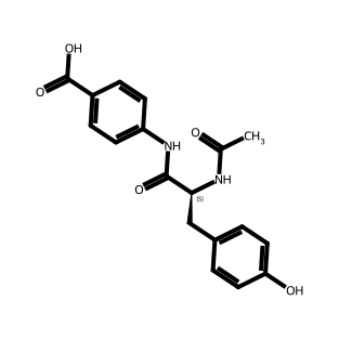 CC(=O)N[C@@H](Cc1ccc(O)cc1)C(=O)Nc1ccc(C(=O)O)cc1